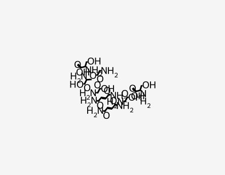 NC(=O)/C=C/C(N)=O.NC(=O)/C=C/C(N)=O.NCC(=O)O.NCC(=O)O.NCC(=O)OC[C@H](N)C(=O)O.N[C@@H](CO)C(=O)O.N[C@@H](CO)C(=O)O